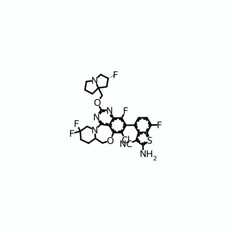 N#Cc1c(N)sc2c(F)ccc(-c3c(Cl)c4c5c(nc(OCC67CCCN6C[C@H](F)C7)nc5c3F)N3CC(F)(F)CCC3CO4)c12